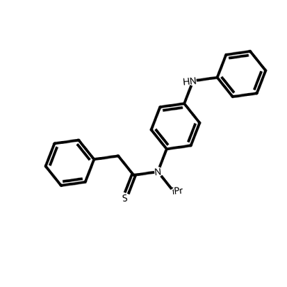 CC(C)N(C(=S)Cc1ccccc1)c1ccc(Nc2ccccc2)cc1